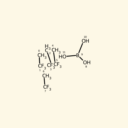 CC(F)(F)F.CC(F)(F)F.CC(F)(F)F.CC(F)(F)F.OB(O)O